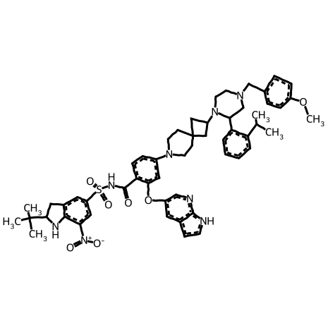 COc1ccc(CN2CCN(C3CC4(CCN(c5ccc(C(=O)NS(=O)(=O)c6cc7c(c([N+](=O)[O-])c6)NC(C(C)(C)C)C7)c(Oc6cnc7[nH]ccc7c6)c5)CC4)C3)C(c3ccccc3C(C)C)C2)cc1